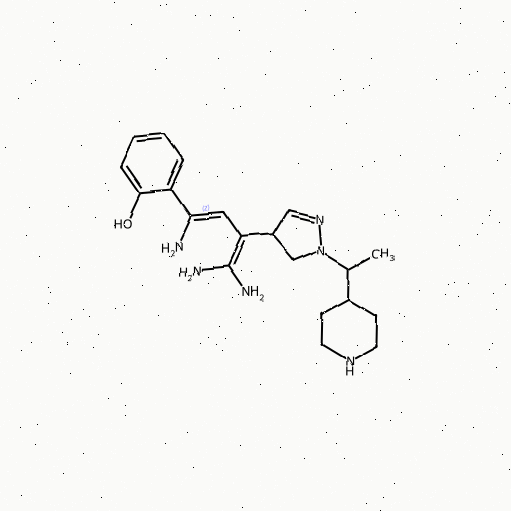 CC(C1CCNCC1)N1CC(C(/C=C(\N)c2ccccc2O)=C(N)N)C=N1